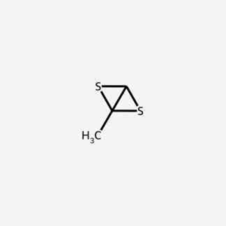 CC12SC1S2